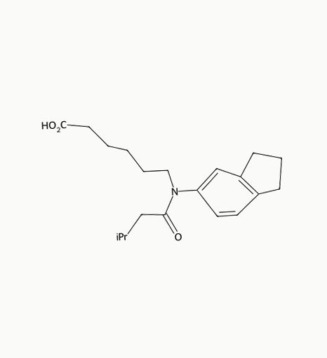 CC(C)CC(=O)N(CCCCCC(=O)O)c1ccc2c(c1)CCC2